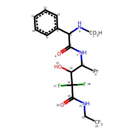 CC(C)C(NC(=O)C(NC(=O)O)c1ccccc1)C(O)C(F)(F)C(=O)NCC(F)(F)F